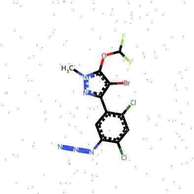 Cn1nc(-c2cc(N=[N+]=[N-])c(Cl)cc2Cl)c(Br)c1OC(F)F